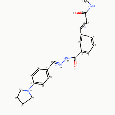 CNC(=O)/C=C/c1cccc(C(=O)N/N=C/c2ccc(N3CCCC3)cc2)c1